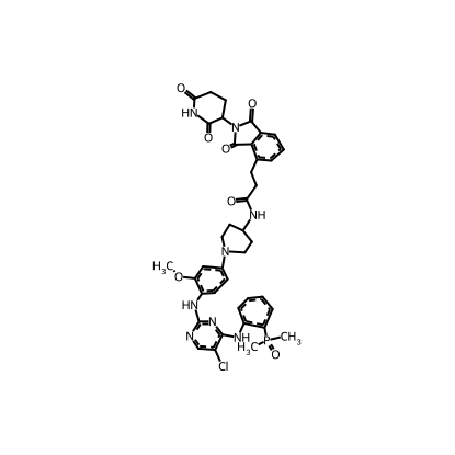 COc1cc(N2CCC(NC(=O)CCc3cccc4c3C(=O)N(C3CCC(=O)NC3=O)C4=O)CC2)ccc1Nc1ncc(Cl)c(Nc2ccccc2P(C)(C)=O)n1